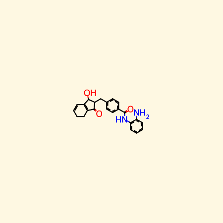 Nc1ccccc1NC(=O)c1ccc(CC2C(=O)C3=C(C=CCC3)C2O)cc1